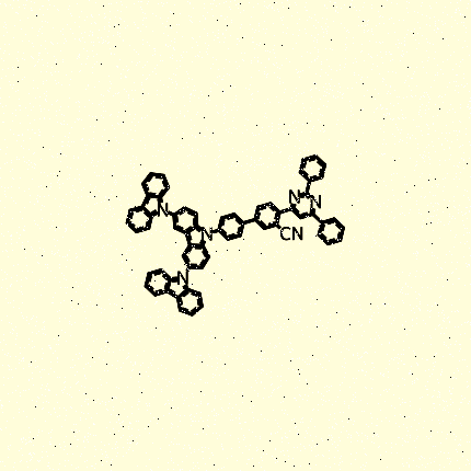 N#Cc1cc(-c2ccc(-n3c4ccc(-n5c6ccccc6c6ccccc65)cc4c4cc(-n5c6ccccc6c6ccccc65)ccc43)cc2)ccc1-c1cc(-c2ccccc2)nc(-c2ccccc2)n1